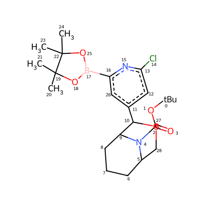 CC(C)(C)OC(=O)N1C2CCCC1C(c1cc(Cl)nc(B3OC(C)(C)C(C)(C)O3)c1)OC2